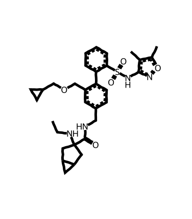 CCNC1(C(=O)NCc2ccc(-c3ccccc3S(=O)(=O)Nc3noc(C)c3C)c(COCC3CC3)c2)CC2CC2C1